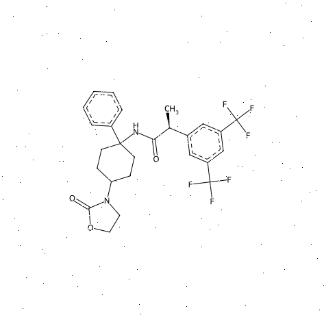 C[C@H](C(=O)NC1(c2ccccc2)CCC(N2CCOC2=O)CC1)c1cc(C(F)(F)F)cc(C(F)(F)F)c1